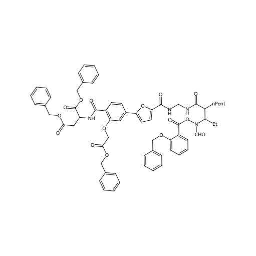 CCCCCC(C(=O)NCNC(=O)c1ccc(-c2ccc(C(=O)NC(CC(=O)OCc3ccccc3)C(=O)OCc3ccccc3)c(OCC(=O)OCc3ccccc3)c2)o1)C(CC)N(C=O)OC(=O)c1ccccc1OCc1ccccc1